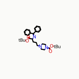 CC(C)(C)OC(=O)C(CCCN1CCN(C(=O)OC(C)(C)C)CC1)N=C(c1ccccc1)c1ccccc1